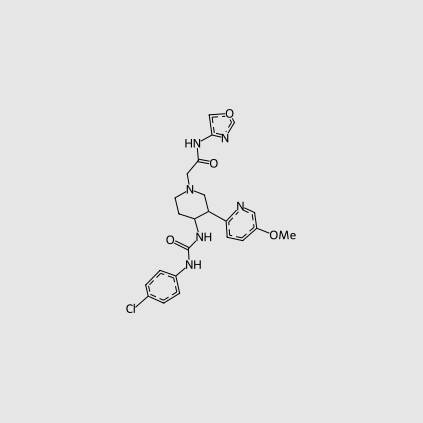 COc1ccc(C2CN(CC(=O)Nc3cocn3)CCC2NC(=O)Nc2ccc(Cl)cc2)nc1